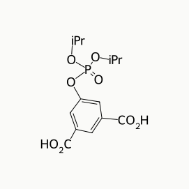 CC(C)OP(=O)(Oc1cc(C(=O)O)cc(C(=O)O)c1)OC(C)C